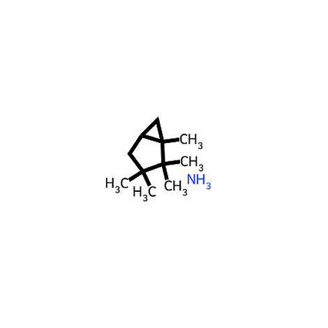 CC1(C)CC2CC2(C)C1(C)C.N